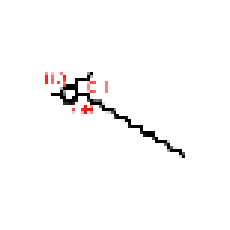 CCCCCCCCCCCCCCCC(O)c1c(O)cc(C)c(O)c1CCC